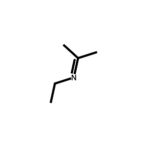 CCN=C(C)C